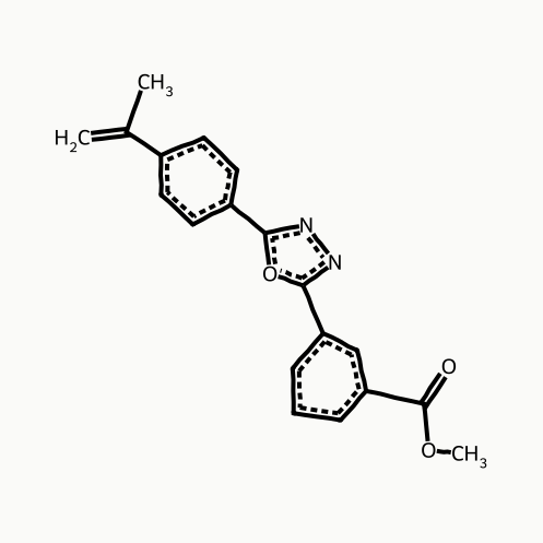 C=C(C)c1ccc(-c2nnc(-c3cccc(C(=O)OC)c3)o2)cc1